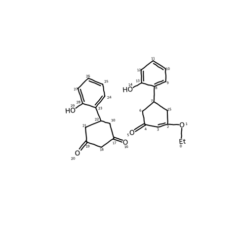 CCOC1=CC(=O)CC(c2ccccc2O)C1.O=C1CC(=O)CC(c2ccccc2O)C1